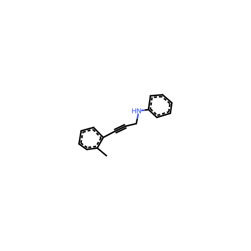 Cc1ccccc1C#CCNc1ccccc1